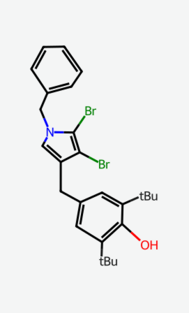 CC(C)(C)c1cc(Cc2cn(Cc3ccccc3)c(Br)c2Br)cc(C(C)(C)C)c1O